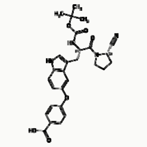 CC(C)(C)OC(=O)N[C@@H](Cc1c[nH]c2ccc(Oc3ccc(C(=O)O)cc3)cc12)C(=O)N1CCC[C@H]1C#N